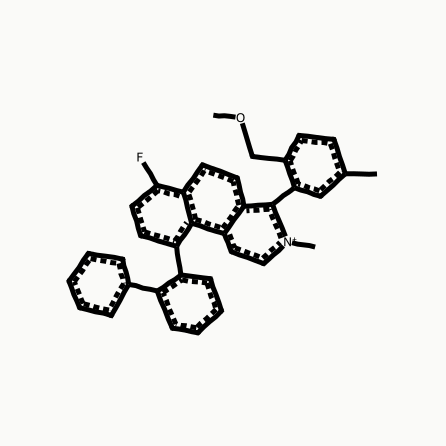 COCc1ccc(C)cc1-c1c2ccc3c(F)ccc(-c4ccccc4-c4ccccc4)c3c2cc[n+]1C